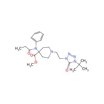 CCC(=O)N(c1ccccc1)C1(C(=O)OC)CCN(CCn2nnn(C(C)(C)C)c2=O)CC1